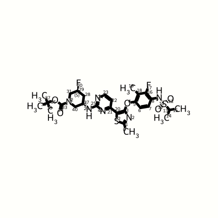 Cc1nc(Oc2ccc(NS(=O)(=O)C(C)C)c(F)c2C)c(-c2ccnc(N[C@H]3C[C@H](F)CN(C(=O)OC(C)(C)C)C3)n2)s1